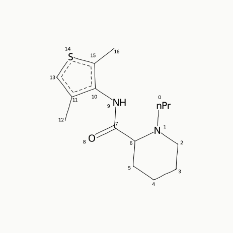 CCCN1CCCCC1C(=O)Nc1c(C)csc1C